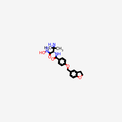 CC(C)(N)[C@H](NC(=O)c1ccc(OCc2ccc3c(c2)CCO3)cc1)C(=O)NO